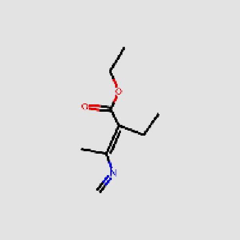 C=N/C(C)=C(\CC)C(=O)OCC